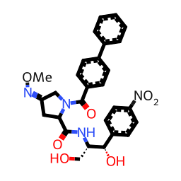 CON=C1CC(C(=O)N[C@@H](CO)[C@@H](O)c2ccc([N+](=O)[O-])cc2)N(C(=O)c2ccc(-c3ccccc3)cc2)C1